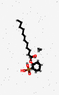 CCCCCCCCCCCC(=O)Oc1ccccc1S(=O)(=O)O.[Na]